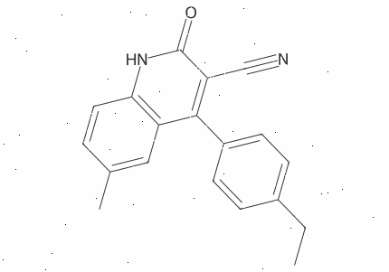 CCc1ccc(-c2c(C#N)c(=O)[nH]c3ccc(C)cc23)cc1